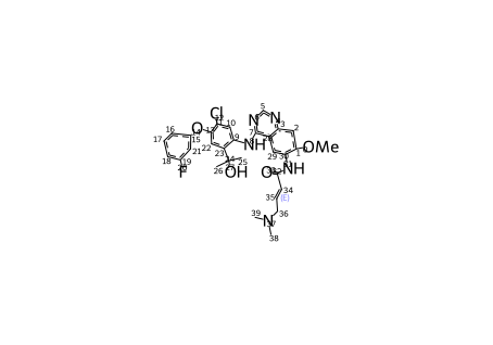 COc1cc2ncnc(Nc3cc(Cl)c(Oc4cccc(F)c4)cc3C(C)(C)O)c2cc1NC(=O)/C=C/CN(C)C